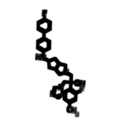 Cc1ccc(C(O)(CN2CC3CC(Nc4ccc(-c5ccc(F)cc5)cc4)CC3C2)Cn2cncn2)c(F)c1